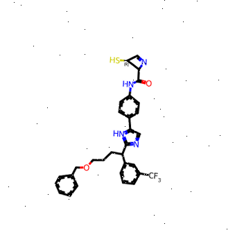 O=C(Nc1ccc(-c2cnc(C(CCCOCc3ccccc3)c3cccc(C(F)(F)F)c3)[nH]2)cc1)C1N=C[C@@H]1S